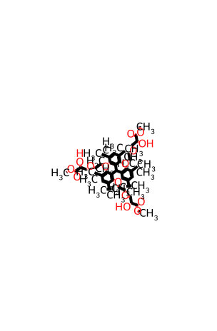 COC(=O)C(O)COCCOc1c(C(c2cc(C(C)(C)C)cc(C(C)(C)C)c2OCCOCC(O)C(=O)OC)c2cc(C(C)(C)C)cc(C(C)(C)C)c2OCCOCC(O)C(=O)OC)cc(C(C)(C)C)cc1C(C)(C)C